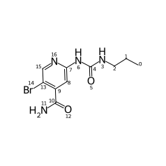 CCCNC(=O)Nc1cc(C(N)=O)c(Br)cn1